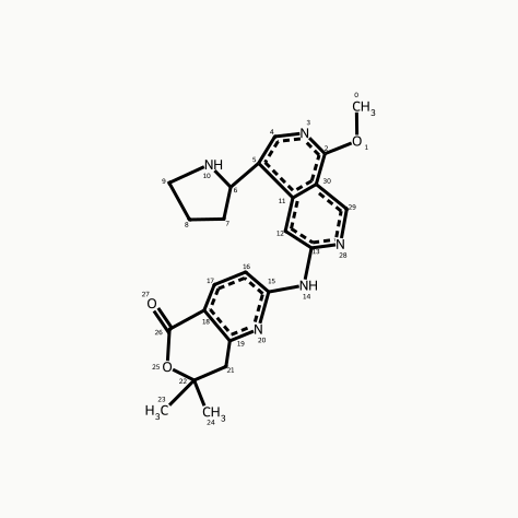 COc1ncc(C2CCCN2)c2cc(Nc3ccc4c(n3)CC(C)(C)OC4=O)ncc12